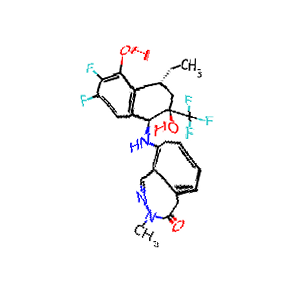 CC[C@@H]1C[C@](O)(C(F)(F)F)[C@@H](Nc2cccc3c(=O)n(C)ncc23)c2cc(F)c(F)c(O)c21